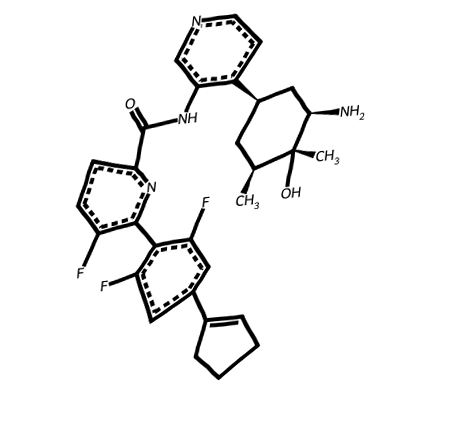 C[C@H]1C[C@@H](c2ccncc2NC(=O)c2ccc(F)c(-c3c(F)cc(C4=CCCC4)cc3F)n2)C[C@@H](N)[C@]1(C)O